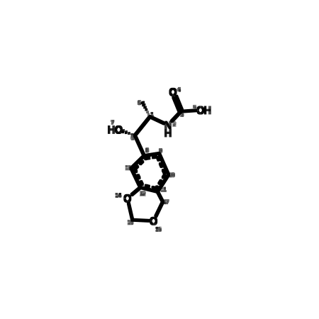 C[C@H](NC(=O)O)[C@@H](O)c1ccc2c(c1)OCOC2